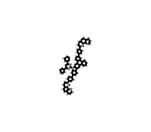 c1ccc(-c2cc(-c3ccccc3)nc(-n3c4cc(-c5ccc(-c6ccc7ccc8cccnc8c7n6)cc5)ccc4c4cc5c6ccccc6c6cc(-c7ccc(-c8ccc9ccc%10cccnc%10c9n8)cc7)ccc6c5cc43)n2)cc1